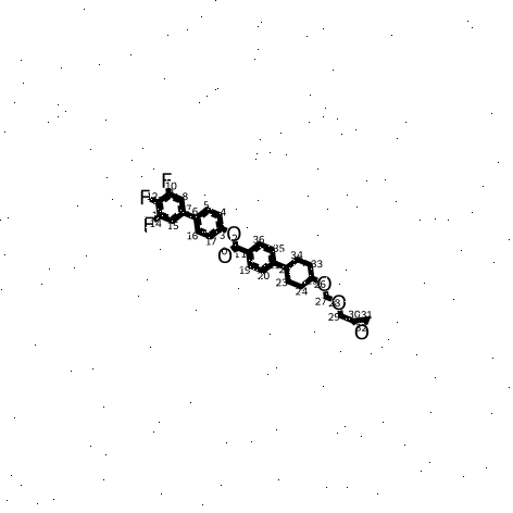 O=C(Oc1ccc(-c2cc(F)c(F)c(F)c2)cc1)c1ccc(C2CCC(OCOCC3CO3)CC2)cc1